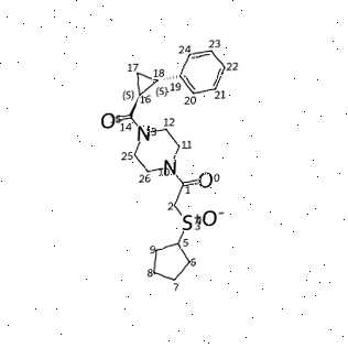 O=C(C[S+]([O-])C1CCCC1)N1CCN(C(=O)[C@H]2C[C@@H]2c2ccccc2)CC1